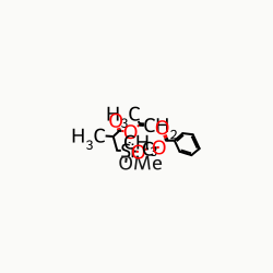 C=C(C)OC(=O)C(C)C[Si](C)(OC)OCOC(=O)c1ccccc1